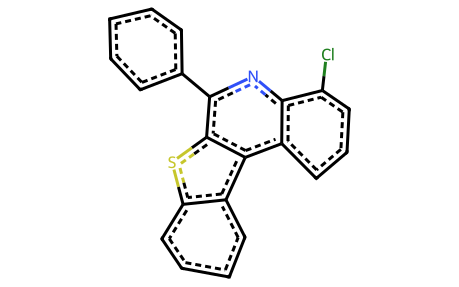 Clc1cccc2c1nc(-c1ccccc1)c1sc3ccccc3c12